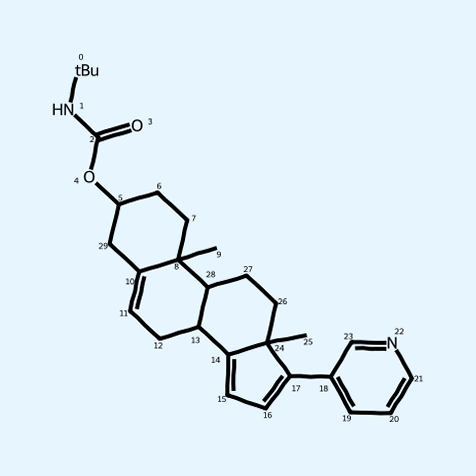 CC(C)(C)NC(=O)OC1CCC2(C)C(=CCC3C4=CC=C(c5cccnc5)C4(C)CCC32)C1